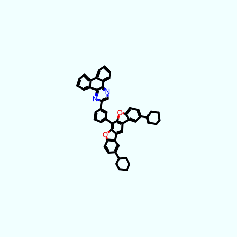 c1cc(-c2cnc3c4ccccc4c4ccccc4c3n2)cc(-c2c3oc4ccc(C5CCCCC5)cc4c3cc3c2oc2ccc(C4CCCCC4)cc23)c1